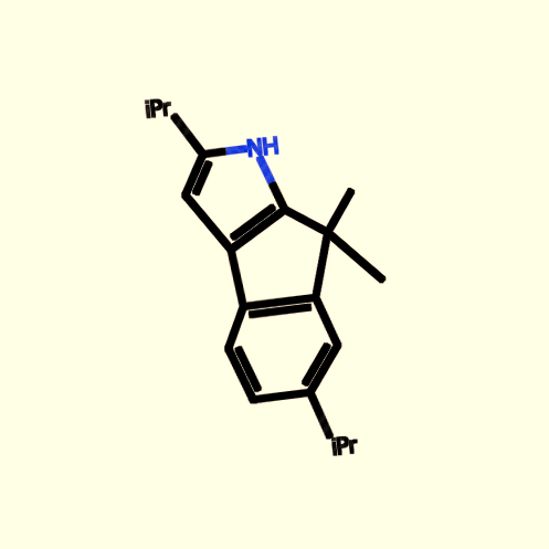 CC(C)c1ccc2c(c1)C(C)(C)c1[nH]c(C(C)C)cc1-2